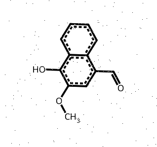 COc1cc(C=O)c2ccccc2c1O